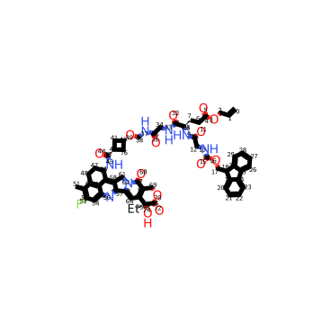 C=CCOC(=O)CC[C@H](NC(=O)CNC(=O)OCC1c2ccccc2-c2ccccc21)C(=O)NCC(=O)NCO[C@H]1C[C@@H](C(=O)N[C@H]2CCc3c(C)c(F)cc4nc5c(c2c34)Cn2c-5cc3c(c2=O)COC(=O)[C@]3(O)CC)C1